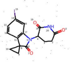 O=C1CCC(N2C(=O)C3(CC3)c3ccc(I)cc32)C(=O)N1